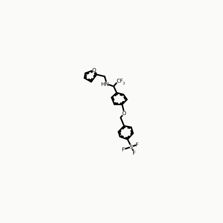 FC(F)(F)C(NCc1ccco1)c1ccc(OCc2ccc(S(F)(F)F)cc2)cc1